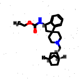 CCOC(=O)N[C@H]1CC2(CCN(C[C@H]3C[C@H]4CC[C@H]3C4)CC2)c2ccccc21